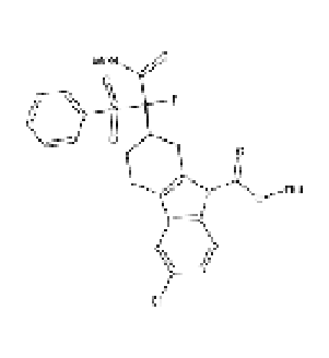 CNC(=O)C(F)([C@@H]1CCc2c(n(C(=O)OC(C)(C)C)c3ccc(Cl)cc23)C1)S(=O)(=O)c1ccccc1